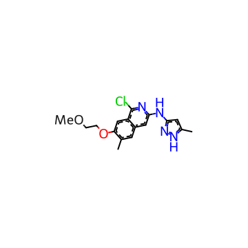 COCCOc1cc2c(Cl)nc(Nc3cc(C)[nH]n3)cc2cc1C